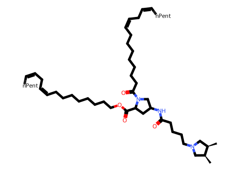 CCCCC/C=C\C/C=C\CCCCCCCCOC(=O)C1CC(NC(=O)CCCCN2C[C@@H](C)[C@@H](C)C2)CN1C(=O)CCCCCCC/C=C\C/C=C\CCCCC